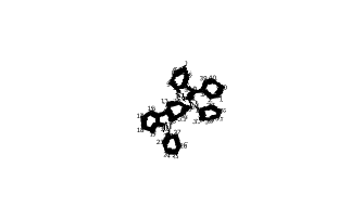 c1ccc(-c2c3ccccc3n3c4cc5c6ccccc6n(-c6ccccc6)c5cc4n(-c4ccccc4)c23)cc1